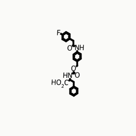 O=C(Cc1ccc(F)cc1)Nc1ccc(COC(=O)NC(Cc2ccccc2)C(=O)O)cc1